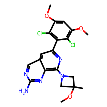 COc1cc(OC)c(Cl)c(-c2cc3cnc(N)nc3c(N3CC(C)(OC)C3)n2)c1Cl